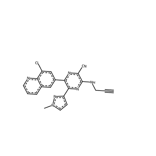 C#CCNc1nc(-c2ccn(C)n2)c(-c2cc(Cl)c3ncccc3c2)nc1C#N